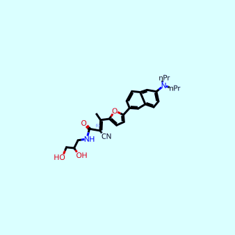 CCCN(CCC)c1ccc2cc(-c3ccc(/C(C)=C(\C#N)C(=O)NCC(O)CO)o3)ccc2c1